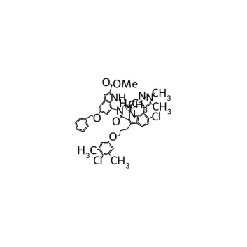 COC(=O)c1cc2cc(OCc3ccccc3)cc(N3C[C@@H](C)n4c(c(CCCOc5cc(C)c(Cl)c(C)c5)c5ccc(Cl)c(-c6c(C)nn(C)c6C)c54)C3=O)c2[nH]1